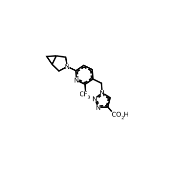 O=C(O)c1cn(Cc2ccc(N3CC4CC4C3)nc2C(F)(F)F)nn1